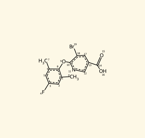 Cc1cc(F)cc(C)c1Oc1ncc(C(=O)O)cc1Br